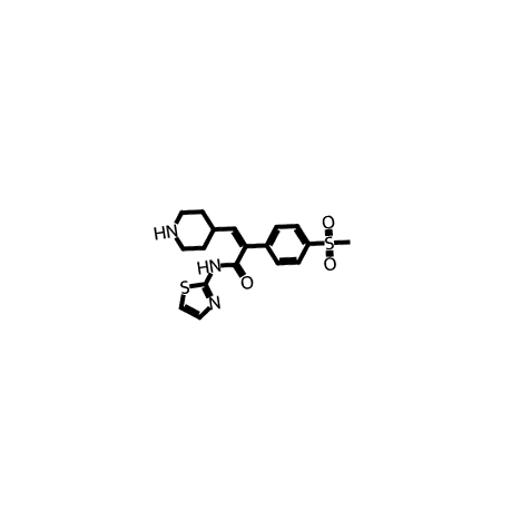 CS(=O)(=O)c1ccc(C(=CC2CCNCC2)C(=O)Nc2nccs2)cc1